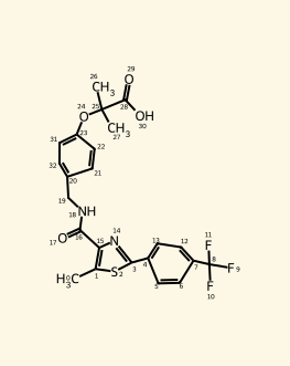 Cc1sc(-c2ccc(C(F)(F)F)cc2)nc1C(=O)NCc1ccc(OC(C)(C)C(=O)O)cc1